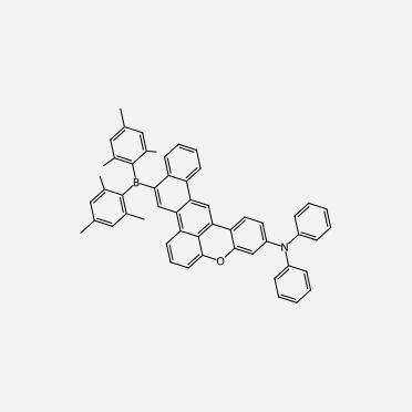 Cc1cc(C)c(B(c2c(C)cc(C)cc2C)c2cc3c4cccc5c4c(cc3c3ccccc23)-c2ccc(N(c3ccccc3)c3ccccc3)cc2O5)c(C)c1